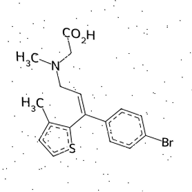 Cc1ccsc1C(=CCN(C)CC(=O)O)c1ccc(Br)cc1